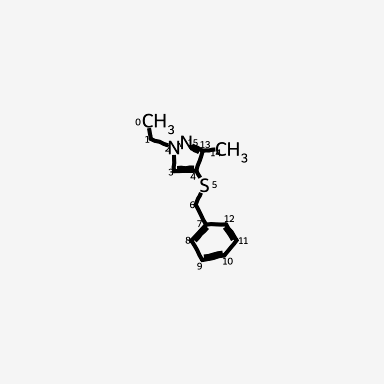 CCn1cc(SCc2ccccc2)c(C)n1